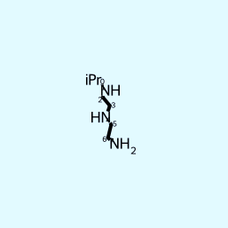 [CH2]C(C)NCCNCCN